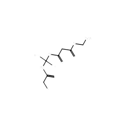 CNCNC(=O)CC(=O)NC(O)(O)NC(=O)CC(C)=O